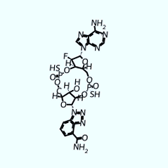 NC(=O)c1cccc2c1nnn2[C@@H]1O[C@@H]2COP(=O)(S)O[C@H]3[C@@H](F)[C@H](n4cnc5c(N)ncnc54)O[C@@H]3COP(=O)(S)O[C@@H]1[C@@H]2O